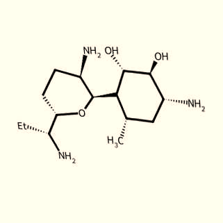 CC[C@@H](N)[C@@H]1CC[C@@H](N)[C@@H](C2[C@@H](C)C[C@@H](N)[C@H](O)[C@H]2O)O1